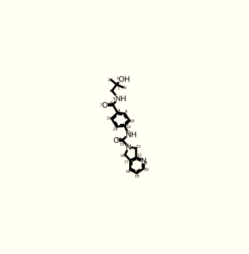 CC(C)(O)CNC(=O)c1ccc(NC(=O)N2Cc3cccnc3C2)cc1